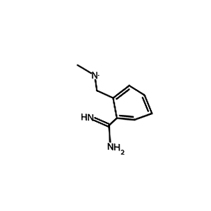 C[N]Cc1ccccc1C(=N)N